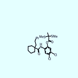 CSC(C)(SC)C(=O)Oc1cc(Cl)c(Cl)cc1NC(=O)C1(CCC(C)C)CCCCC1